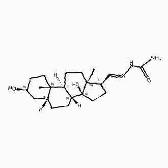 C[C@]12CC[C@H](O)C[C@H]1CC[C@@H]1[C@@H]2CC[C@]2(C)[C@@H](C=NNC(N)=O)CC[C@]12O